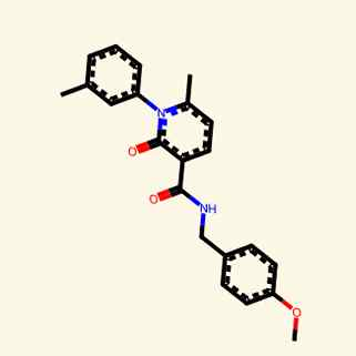 COc1ccc(CNC(=O)c2ccc(C)n(-c3cccc(C)c3)c2=O)cc1